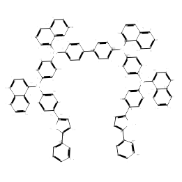 c1ccc(-c2ccc(-c3ccc(N(c4ccc(N(c5ccc(-c6ccc(N(c7ccc(N(c8ccc(-c9ccc(-c%10ccccc%10)s9)cc8)c8cccc9ccccc89)cc7)c7cccc8ccccc78)cc6)cc5)c5cccc6ccccc56)cc4)c4cccc5ccccc45)cc3)s2)cc1